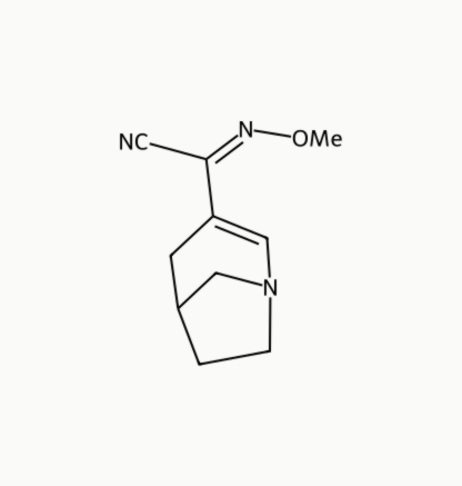 CO/N=C(/C#N)C1=CN2CCC(C1)C2